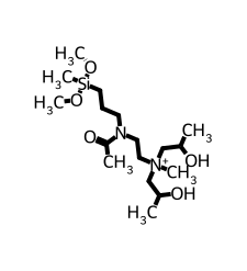 CO[Si](C)(CCCN(CC[N+](C)(CC(C)O)CC(C)O)C(C)=O)OC